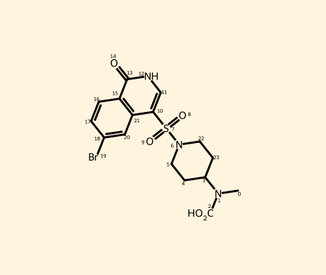 CN(C(=O)O)C1CCN(S(=O)(=O)c2c[nH]c(=O)c3ccc(Br)cc23)CC1